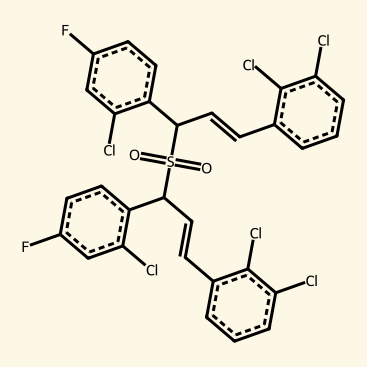 O=S(=O)(C(C=Cc1cccc(Cl)c1Cl)c1ccc(F)cc1Cl)C(C=Cc1cccc(Cl)c1Cl)c1ccc(F)cc1Cl